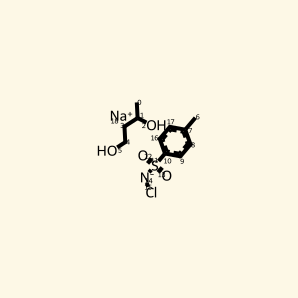 CC(O)CCO.Cc1ccc(S(=O)(=O)[N-]Cl)cc1.[Na+]